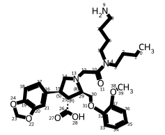 CCCCN(CCCCN)C(=O)CN1C[C@H](c2ccc3c(c2)OCO3)[C@@H](C(=O)O)[C@@H]1COc1ccccc1OC